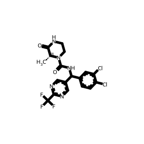 C[C@@H]1C(=O)NCCN1C(=O)NC(c1cnc(C(F)(F)F)nc1)c1ccc(Cl)c(Cl)c1